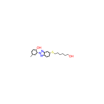 Cc1ccc(O)c(-n2nc3ccc(SCCCCCCO)cc3n2)c1